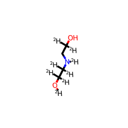 [2H]OC([2H])([2H])C([2H])([2H])N([2H])CC([2H])([2H])O